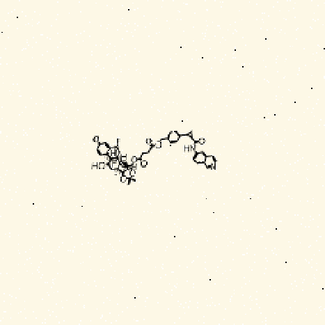 CC1(C)O[C@@H]2C[C@H]3[C@@H]4C[C@H](F)C5=CC(=O)C=C[C@]5(C)[C@@]4(F)[C@@H](O)C[C@]3(C)[C@]2(C(=O)COC(=O)CCC(=O)OCc2ccc(C3CC3C(=O)Nc3ccc4cnccc4c3)cc2)O1